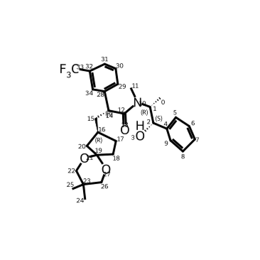 C[C@H]([C@@H](O)c1ccccc1)N(C)C(=O)[C@H](C[C@H]1CCC2(C1)OCC(C)(C)CO2)c1cccc(C(F)(F)F)c1